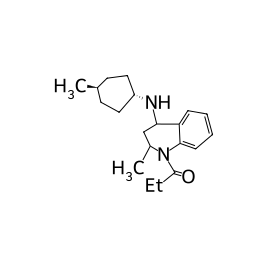 CCC(=O)N1c2ccccc2C(N[C@H]2CC[C@H](C)CC2)CC1C